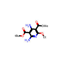 CCOc1nc(N)c(C(=O)OC(C)(C)C)c(N)c1C(=O)OC